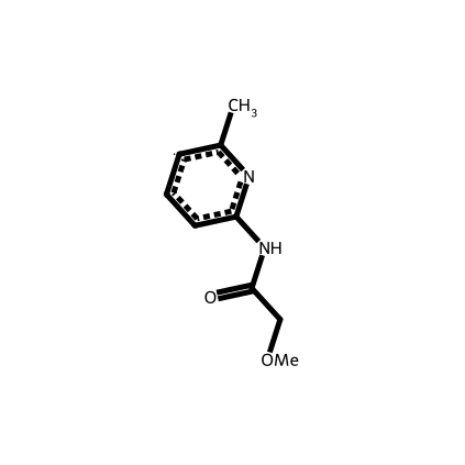 COCC(=O)Nc1cc[c]c(C)n1